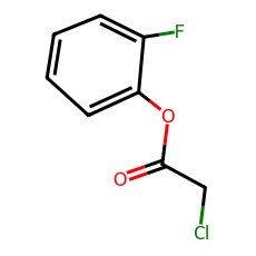 O=C(CCl)Oc1ccccc1F